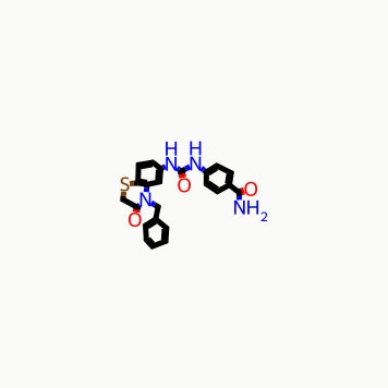 NC(=O)c1ccc(NC(=O)Nc2ccc3c(c2)N(Cc2ccccc2)C(=O)CS3)cc1